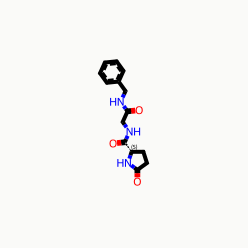 O=C(CNC(=O)[C@@H]1CCC(=O)N1)NCc1ccccc1